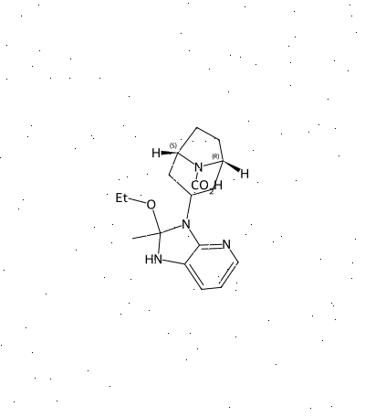 CCOC1(C)Nc2cccnc2N1C1C[C@H]2CC[C@@H](C1)N2C(=O)O